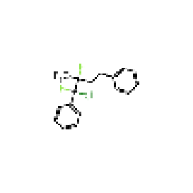 FC(F)(F)C(F)(CCc1ccccc1)C(F)(Cl)c1ccccc1